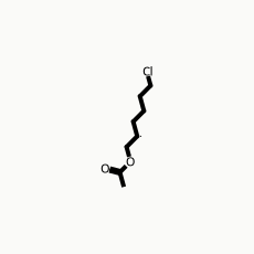 CC(=O)OC[CH]CCCCCl